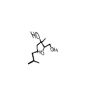 CC(C)CCCC(C)(O)C(O)CO